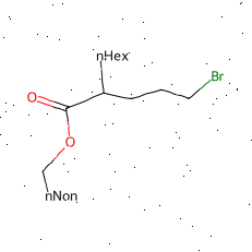 CCCCCCCCCCOC(=O)C(CCCBr)CCCCCC